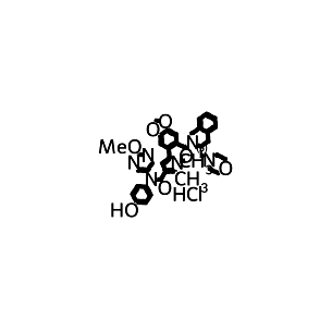 COc1ncc(N(C(=O)c2cc(-c3cc4c(cc3C(=O)N3Cc5ccccc5C[C@H]3CN3CCOCC3)OCO4)n(C)c2C)c2ccc(O)cc2)cn1.Cl